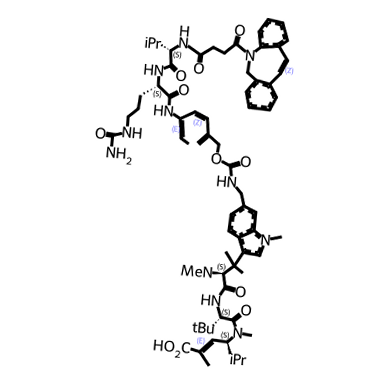 C=C(/C=C\C(=C/C)NC(=O)[C@H](CCCNC(N)=O)NC(=O)[C@@H](NC(=O)CCC(=O)N1Cc2ccccc2/C=C\c2ccccc21)C(C)C)COC(=O)NCc1ccc2c(C(C)(C)[C@H](NC)C(=O)N[C@H](C(=O)N(C)[C@H](/C=C(\C)C(=O)O)C(C)C)C(C)(C)C)cn(C)c2c1